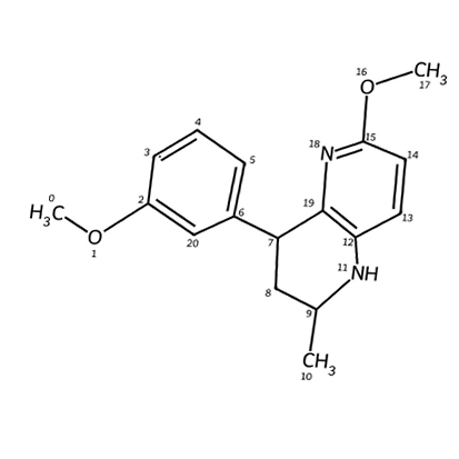 COc1[c]ccc(C2CC(C)Nc3ccc(OC)nc32)c1